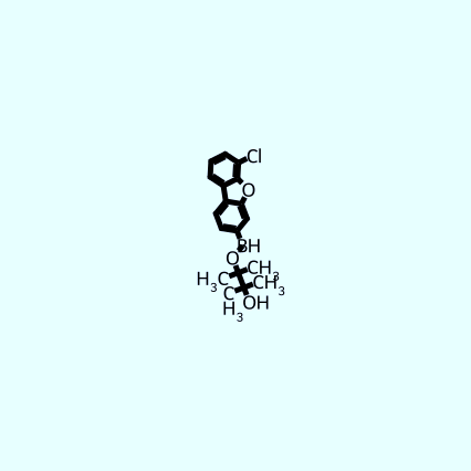 CC(C)(O)C(C)(C)OBc1ccc2c(c1)oc1c(Cl)cccc12